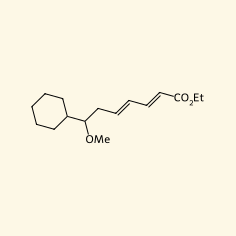 CCOC(=O)/C=C/C=C/CC(OC)C1CCCCC1